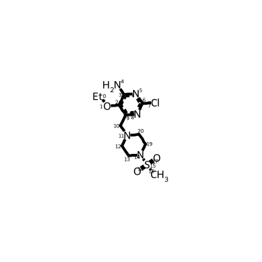 CCOc1c(N)nc(Cl)nc1CN1CCN(S(C)(=O)=O)CC1